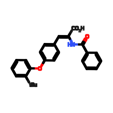 CC(C)(C)c1ccccc1Oc1ccc(C=C(NC(=O)c2ccccc2)C(=O)O)cc1